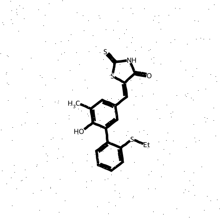 CCSc1ccccc1-c1cc(/C=C2\SC(=S)NC2=O)cc(C)c1O